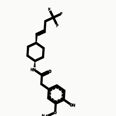 COc1cc(CC(=O)N[C@H]2CC[C@H](C=CCC(F)(F)F)CC2)ccc1O